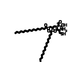 CCCCCCCCCCCCCCCC(=O)OCC(CN(C(=O)[C@@H](N)CS)[C@H]([C]=O)CO)OC(=O)CCCCCCCCCCCCCCC